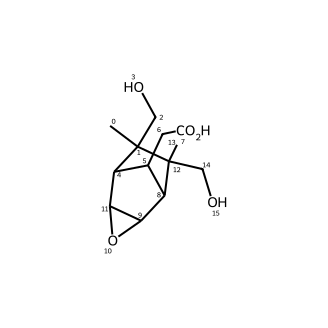 CC1(CO)C2C(CC(=O)O)C(C3OC32)C1(C)CO